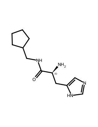 N[C@@H](Cc1cnc[nH]1)C(=O)NCC1CCCC1